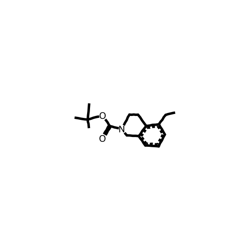 CCc1cccc2c1CCN(C(=O)OC(C)(C)C)C2